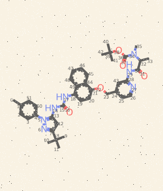 Cc1ccc(-n2nc(C(C)(C)C)cc2NC(=O)Nc2ccc(OCc3ccnc(NC(=O)C(C)N(C)C(=O)OC(C)(C)C)c3)c3ccccc23)cc1